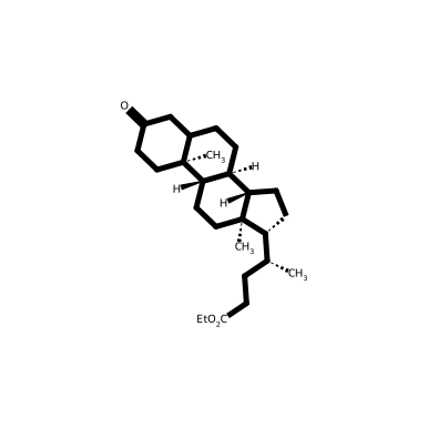 CCOC(=O)CC[C@@H](C)[C@H]1CC[C@H]2[C@@H]3CCC4CC(=O)CC[C@]4(C)[C@H]3CC[C@]12C